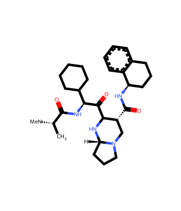 CN[C@@H](C)C(=O)N[C@H](C(=O)C1N[C@H]2CCCN2C[C@H]1C(=O)N[C@@H]1CCCc2ccccc21)C1CCCCC1